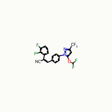 N#CC(=Cc1ccc(-n2nc(C(F)(F)F)cc2OC(F)F)cc1)c1cccc(F)c1F